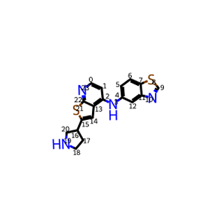 c1cc(Nc2ccc3scnc3c2)c2cc(C3CCNC3)sc2n1